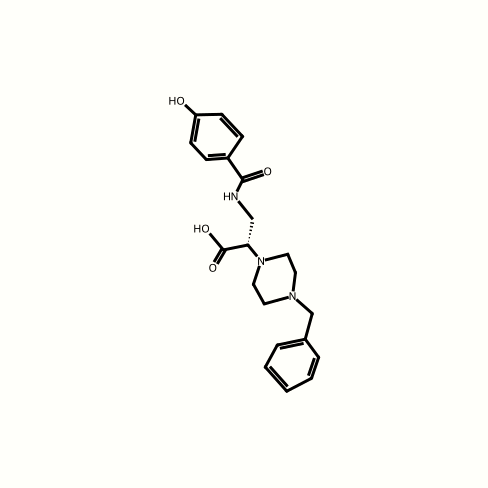 O=C(NC[C@@H](C(=O)O)N1CCN(Cc2ccccc2)CC1)c1ccc(O)cc1